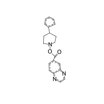 O=C(ON1CCC(c2ccccc2)CC1)c1ccc2nccnc2c1